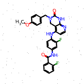 COc1ccc(CN2Cc3c(Nc4ccc(NC(=O)c5ccccc5F)cc4F)ccnc3NC2=O)cc1